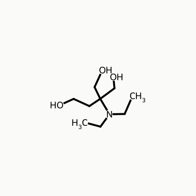 CCN(CC)C(CO)(CO)CCO